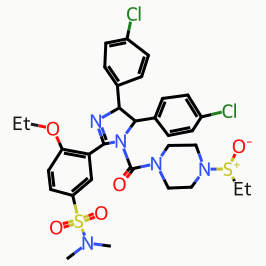 CCOc1ccc(S(=O)(=O)N(C)C)cc1C1=NC(c2ccc(Cl)cc2)C(c2ccc(Cl)cc2)N1C(=O)N1CCN([S+]([O-])CC)CC1